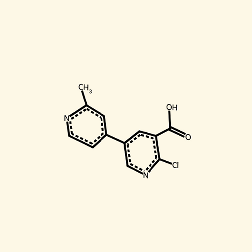 Cc1cc(-c2cnc(Cl)c(C(=O)O)c2)ccn1